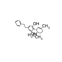 C=C(C)[C@H]1CCC(C)=C[C@@H]1c1c(O)cc(CCc2ccccc2)cc1O